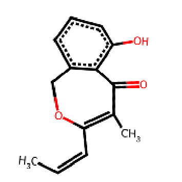 C/C=C\C1=C(C)C(=O)c2c(O)cccc2CO1